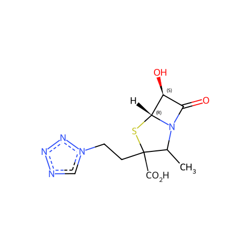 CC1N2C(=O)[C@H](O)[C@H]2SC1(CCn1cnnn1)C(=O)O